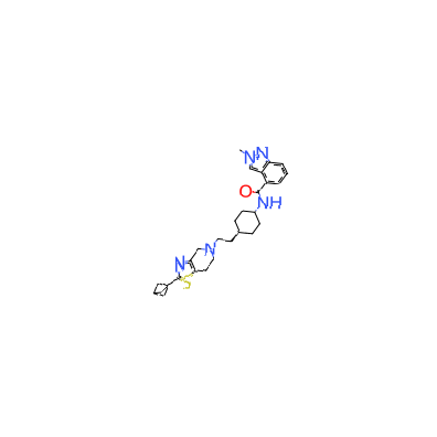 Cn1cc2c(C(=O)N[C@H]3CC[C@H](CCN4CCc5sc(C67CC(C6)C7)nc5C4)CC3)cccc2n1